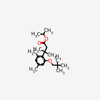 Cc1cc(C)c(C(C)(C)CC(=O)OC(C)C)c(OCC(C)(C)C)c1